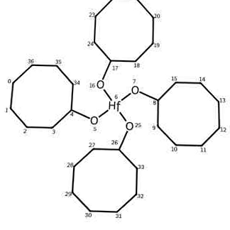 C1CCCC([O][Hf]([O]C2CCCCCCC2)([O]C2CCCCCCC2)[O]C2CCCCCCC2)CCC1